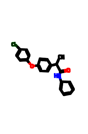 N#CC(C(=O)Nc1ccccc1)c1ccc(Oc2ccc(Cl)cc2)cc1